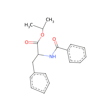 CC(C)OC(=O)C(Cc1ccccc1)NC(=O)c1ccccc1